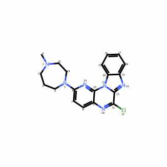 CN1CCCN(c2ccc3nc(Cl)c4nc5ccccc5n4c3n2)CC1